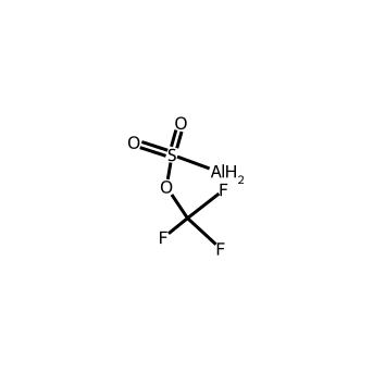 O=[S](=O)([AlH2])OC(F)(F)F